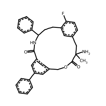 CC1(N)Cc2ccc(F)c(c2)CCC(c2ccccc2)NC(=O)c2cc(cc(-c3ccccc3)c2)COC1=O